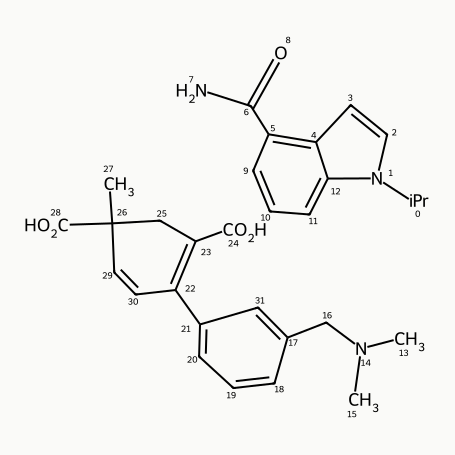 CC(C)n1ccc2c(C(N)=O)cccc21.CN(C)Cc1cccc(C2=C(C(=O)O)CC(C)(C(=O)O)C=C2)c1